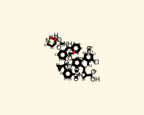 O=C(N[C@@H](c1ccccc1)c1cccc(OCc2cccc(S(=O)(=O)N3CC(C(=O)O)C3[C@@H](Cc3c(Cl)c[n+]([O-])cc3Cl)c3ccc(OC(F)F)c(OCC4CC4)c3)c2)c1)O[C@H]1CN2CCC1CC2